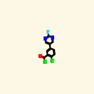 O=C(Cl)c1cc(-c2cnc(F)nc2)ccc1Cl